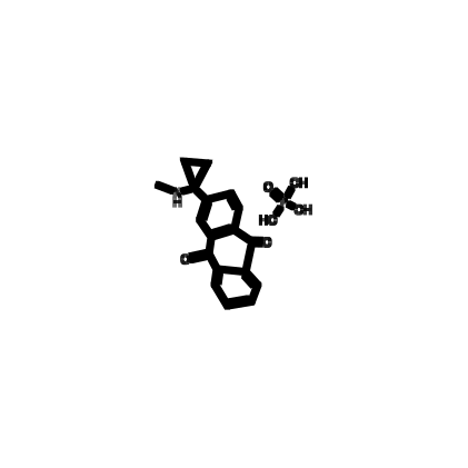 CNC1(c2ccc3c(c2)C(=O)c2ccccc2C3=O)CC1.O=P(O)(O)O